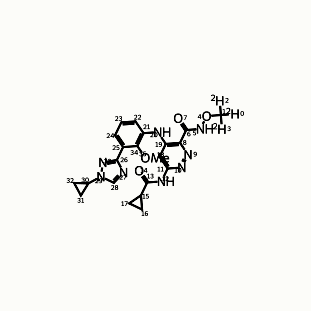 [2H]C([2H])([2H])ONC(=O)c1nnc(NC(=O)C2CC2)cc1Nc1cccc(-c2ncn(C3CC3)n2)c1OC